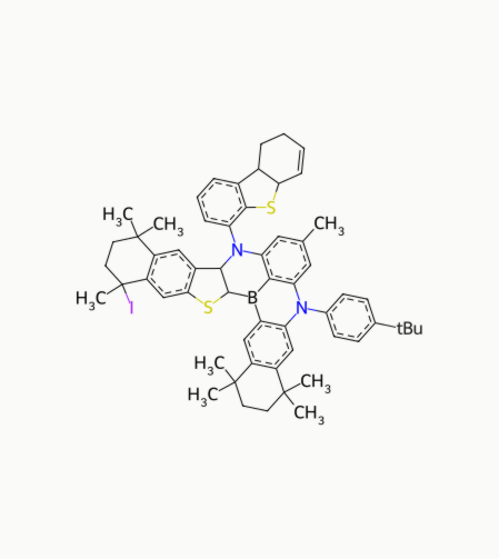 Cc1cc2c3c(c1)N(c1cccc4c1SC1C=CCCC41)C1c4cc5c(cc4SC1B3c1cc3c(cc1N2c1ccc(C(C)(C)C)cc1)C(C)(C)CCC3(C)C)C(C)(I)CCC5(C)C